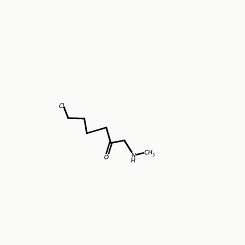 CNCC(=O)CCCCCl